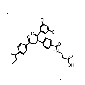 CCC(C)c1ccc(C(=O)CC(C(=O)c2cc(Cl)cc(Cl)c2)c2ccc(C(=O)NCCC(=O)O)cc2)cc1